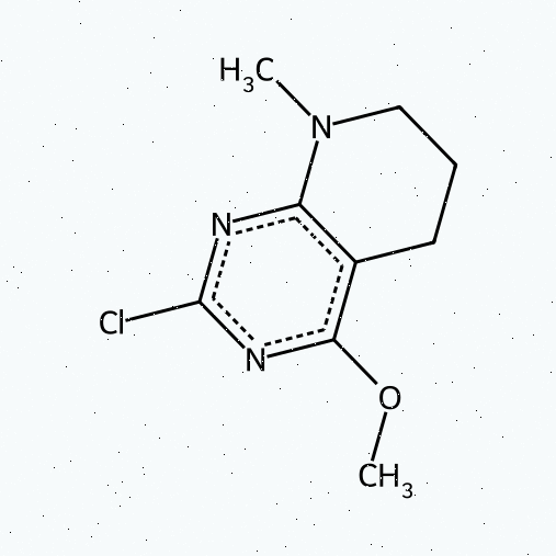 COc1nc(Cl)nc2c1CCCN2C